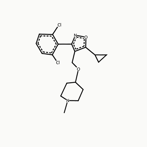 CN1CCC(OCc2c(-c3c(Cl)cccc3Cl)noc2C2CC2)CC1